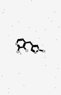 CCn1cc([CH]c2ccnc(C(F)(F)F)c2Cl)cn1